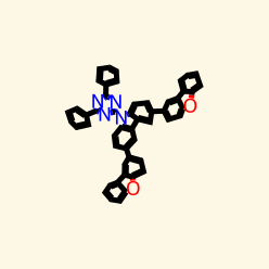 c1ccc(-c2nc(-c3ccccc3)nc(-n3c4ccc(-c5ccc6oc7ccccc7c6c5)cc4c4cc(-c5ccc6oc7ccccc7c6c5)ccc43)n2)cc1